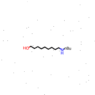 CCCCNCCCCCCCCCO